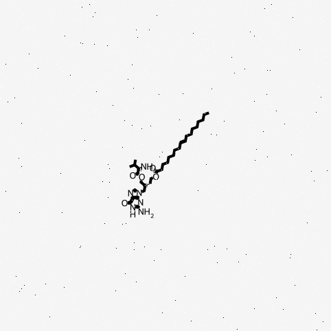 CCCCCCCCC=CCCCCCCCC(=O)OCC[C@@H](COC(=O)[C@@H](N)C(C)C)Cn1cnc2c(=O)[nH]c(N)nc21